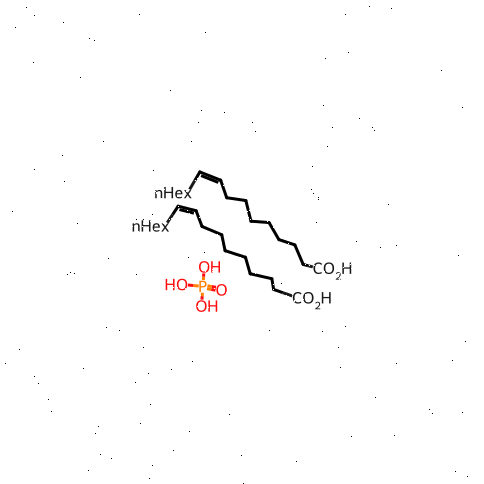 CCCCCC/C=C\CCCCCCCC(=O)O.CCCCCC/C=C\CCCCCCCC(=O)O.O=P(O)(O)O